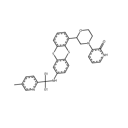 CCC(CC)(Nc1ccc2c(c1)Sc1cccc(C3CN(c4ccc[nH]c4=O)CCO3)c1S2)c1ccc(C)cn1